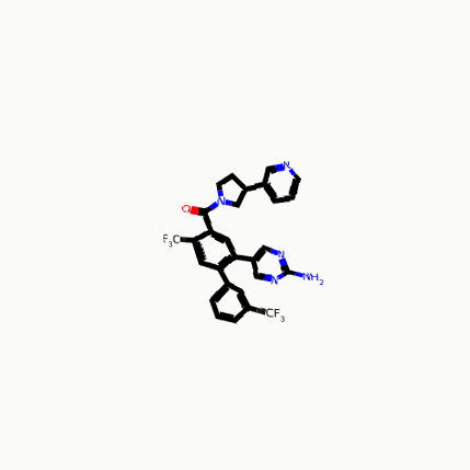 Nc1ncc(-c2cc(C(=O)N3CCC(c4cccnc4)C3)c(C(F)(F)F)cc2-c2cccc(C(F)(F)F)c2)cn1